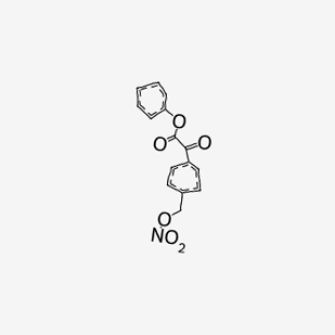 O=C(Oc1ccccc1)C(=O)c1ccc(CO[N+](=O)[O-])cc1